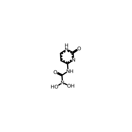 O=C(Nc1cc[nH]c(=O)n1)N(O)O